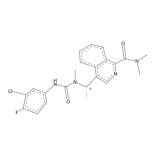 C[C@@H](c1cnc(C(=O)N(C)C)c2ccccc12)N(C)C(=O)Nc1ccc(F)c(Cl)c1